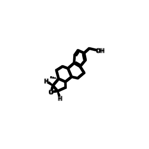 C[C@]12CCC3c4ccc(CO)cc4CCC3C1C[C@@H]1O[C@@H]12